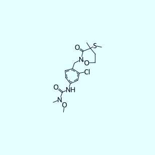 CON(C)C(=O)Nc1ccc(CN2OCCC(C)(SC)C2=O)c(Cl)c1